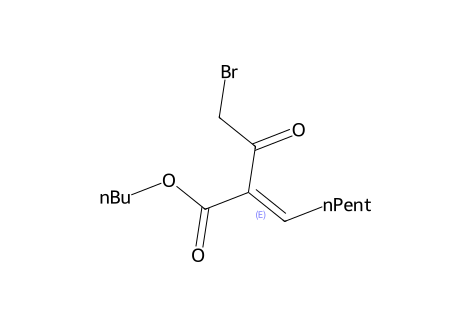 CCCCC/C=C(\C(=O)CBr)C(=O)OCCCC